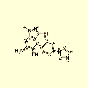 CCc1nn(C)c2c1C(c1ccc(-n3ccnc3)cc1)C(C#N)=C(N)O2